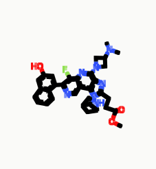 COC(=O)CCc1nc2c(N3CC(N(C)C)C3)nc3c(F)c(-c4cc(O)cc5ccccc45)ncc3c2n1C1C2CNC1C2